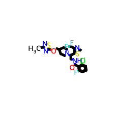 Cc1nsc(OCC2CCN(C(CNC(=O)c3c(F)cccc3Cl)c3scnc3C(F)F)CC2)n1